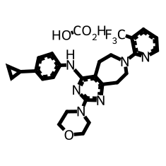 FC(F)(F)c1cccnc1N1CCc2nc(N3CCOCC3)nc(Nc3ccc(C4CC4)cc3)c2CC1.O=C(O)O